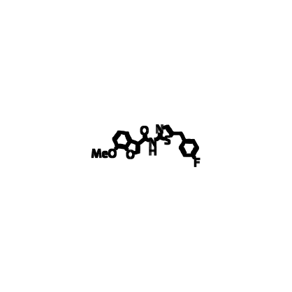 COc1cccc2c(C(=O)Nc3ncc(Cc4ccc(F)cc4)s3)coc12